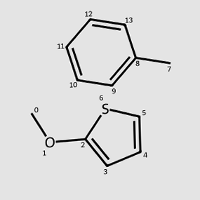 COc1cccs1.Cc1ccccc1